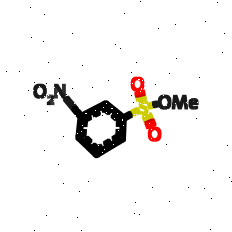 COS(=O)(=O)c1cccc([N+](=O)[O-])c1